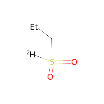 [2H]S(=O)(=O)CCC